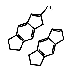 C1=Cc2cc3c(cc2C1)CCC3.CC1=Cc2cc3c(cc2C1)CCC3